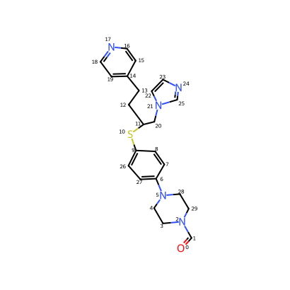 O=CN1CCN(c2ccc(SC(CCc3ccncc3)Cn3ccnc3)cc2)CC1